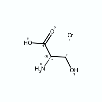 N[C@@H](CO)C(=O)O.[Cr]